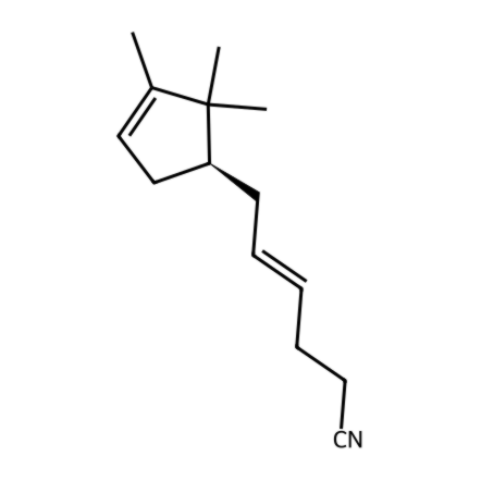 CC1=CC[C@H](C/C=C/CCC#N)C1(C)C